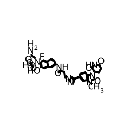 Cn1c(=O)n(C2CCC(=O)NC2=O)c2ccc(-c3cnn(CCC(=O)Nc4ccc5c(F)c(N(CC(N)=O)[SH](=O)=O)c(O)cc5c4)c3)cc21